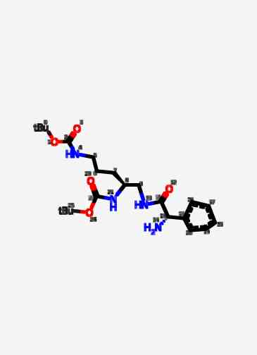 CC(C)(C)OC(=O)NCCC[C@@H](CNC(=O)[C@@H](N)c1ccccc1)NC(=O)OC(C)(C)C